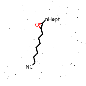 CCCCCCCC1OC1CCCCCCCC#N